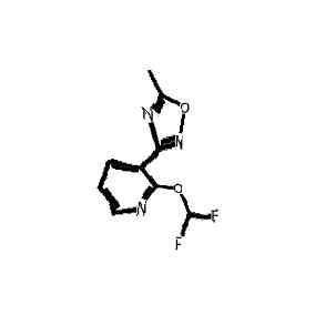 Cc1nc(-c2cccnc2OC(F)F)no1